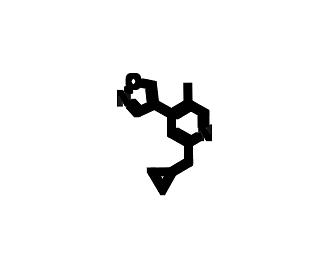 Cc1cnc(CC2CC2)cc1-c1cnoc1